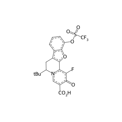 CC(C)(C)C1Cc2c(oc3c(OS(=O)(=O)C(F)(F)F)cccc23)-c2c(F)c(=O)c(C(=O)O)cn21